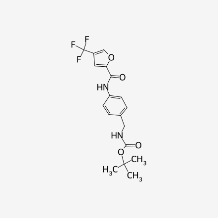 CC(C)(C)OC(=O)NCc1ccc(NC(=O)c2cc(C(F)(F)F)co2)cc1